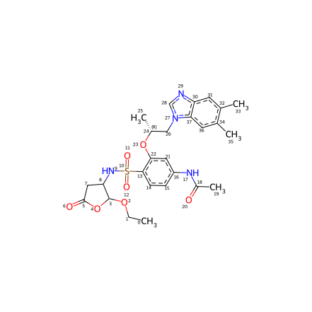 CCOC1OC(=O)CC1NS(=O)(=O)c1ccc(NC(C)=O)cc1O[C@H](C)Cn1cnc2cc(C)c(C)cc21